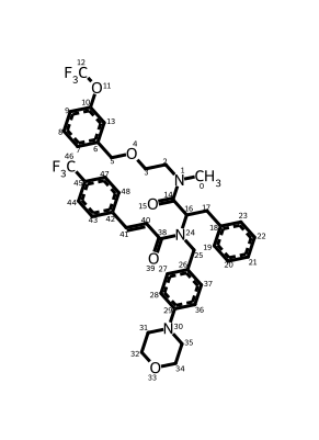 CN(CCOCc1cccc(OC(F)(F)F)c1)C(=O)C(Cc1ccccc1)N(Cc1ccc(N2CCOCC2)cc1)C(=O)C=Cc1ccc(C(F)(F)F)cc1